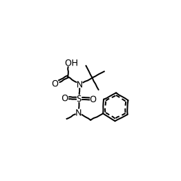 CN(Cc1ccccc1)S(=O)(=O)N(C(=O)O)C(C)(C)C